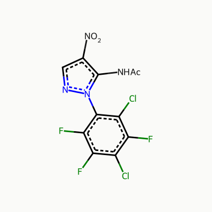 CC(=O)Nc1c([N+](=O)[O-])cnn1-c1c(F)c(F)c(Cl)c(F)c1Cl